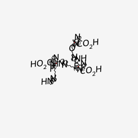 O=C(O)[C@H](c1cccnc1C1CC1C1CNc2nc(CCCCO[C@@H]3CCN([C@@H](C(=O)O)c4cccnc4C4CC4)C3)ccc2C1)N1CC[C@](F)(CCCCCc2ccc3c(n2)NC(C2CC2c2ncccc2[C@H](C(=O)O)N2CC[C@](F)(CCCCCc4ccc5c(n4)NCCC5)C2)CC3)C1